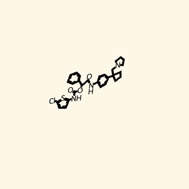 O=C(Nc1ccc(Cl)s1)OC(C(=O)Nc1ccc(C2(CN3CCCC3)CCC2)cc1)c1ccccc1